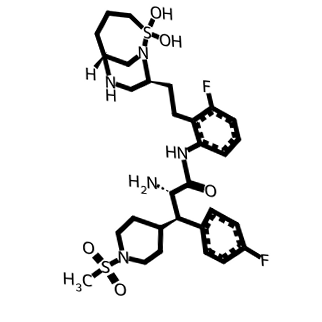 CS(=O)(=O)N1CCC([C@H](c2ccc(F)cc2)[C@H](N)C(=O)Nc2cccc(F)c2CC[C@H]2CN[C@@H]3CCCS(O)(O)N2C3)CC1